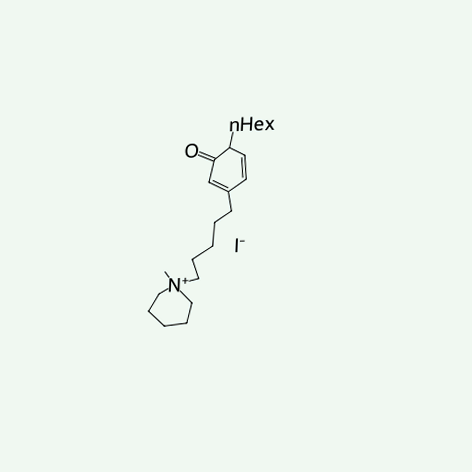 CCCCCCC1C=CC(CCCCC[N+]2(C)CCCCC2)=CC1=O.[I-]